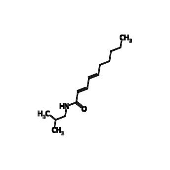 CCCCC/C=C/C=CC(=O)NCC(C)C